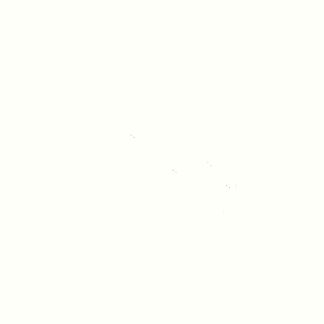 Cc1[nH]cnc1CNC(=O)c1cn2c3c(cccc13)CCC2C